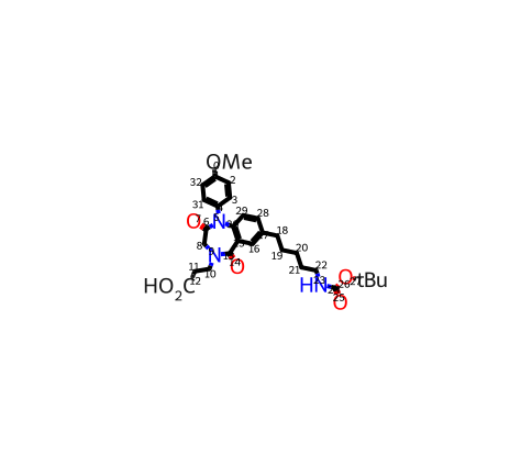 COc1ccc(N2C(=O)CN(CCC(=O)O)C(=O)c3cc(CCCCCNC(=O)OC(C)(C)C)ccc32)cc1